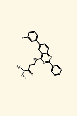 CN(C)C(=O)CCNc1nc(-c2cccnc2)nc2ccc(-c3cccc(F)c3)cc12